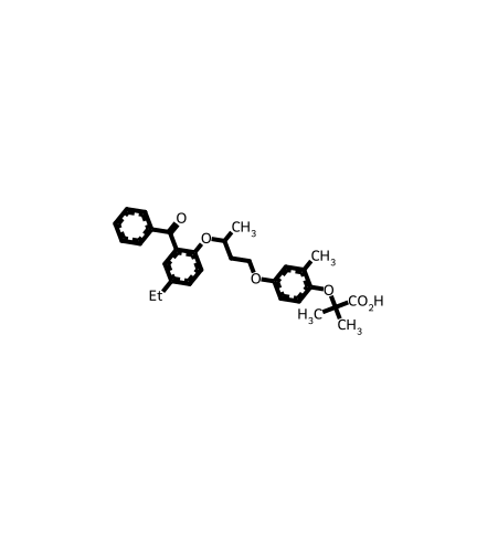 CCc1ccc(OC(C)CCOc2ccc(OC(C)(C)C(=O)O)c(C)c2)c(C(=O)c2ccccc2)c1